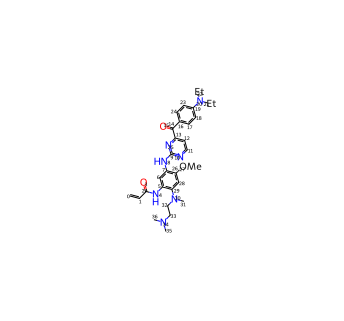 C=CC(=O)Nc1cc(Nc2nccc(C(=O)c3ccc(N(CC)CC)cc3)n2)c(OC)cc1N(C)CCN(C)C